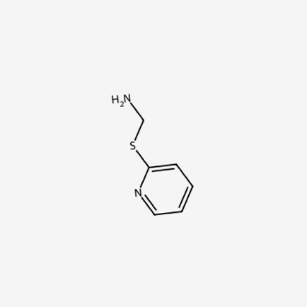 NCSc1ccccn1